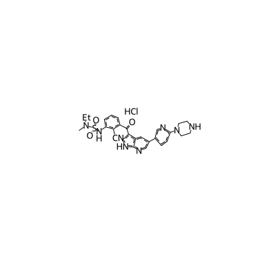 CCN(C)S(=O)(=O)Nc1cccc(C(=O)c2c[nH]c3ncc(-c4ccc(N5CCNCC5)nc4)cc23)c1C#N.Cl